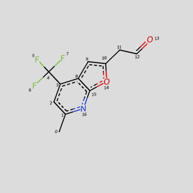 Cc1cc(C(F)(F)F)c2cc(CC=O)oc2n1